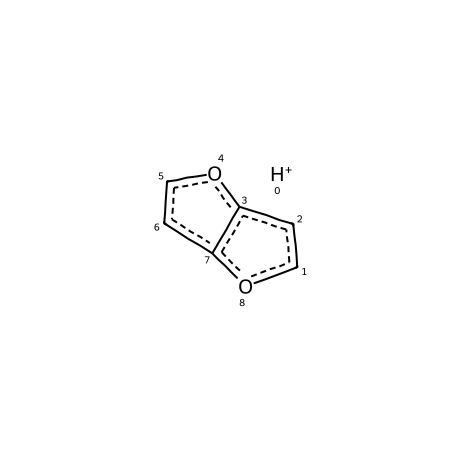 [H+].c1cc2occc2o1